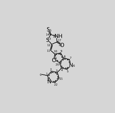 Cc1cc(-c2cncc3cc(/C=C4/SC(=S)NC4=O)oc23)ccn1